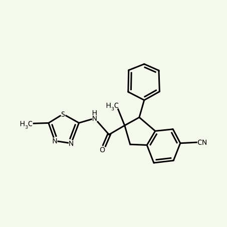 Cc1nnc(NC(=O)C2(C)Cc3ccc(C#N)cc3C2c2ccccc2)s1